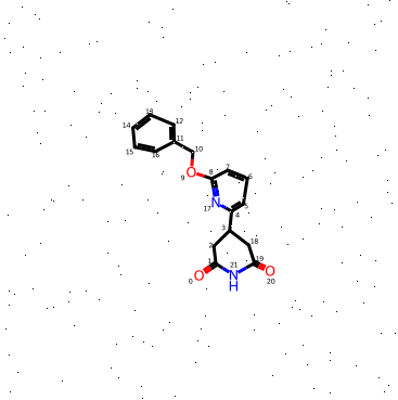 O=C1CC(c2cccc(OCc3ccccc3)n2)CC(=O)N1